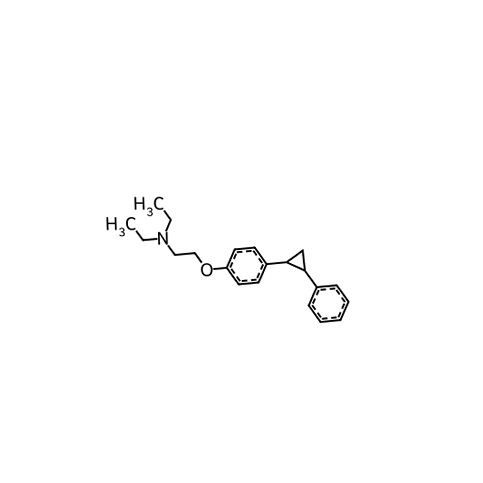 CCN(CC)CCOc1ccc(C2CC2c2ccccc2)cc1